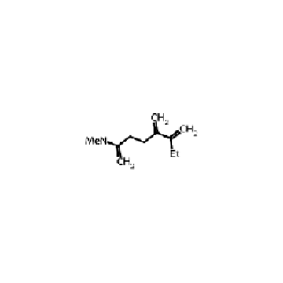 C=C(CCC(=C)C(=C)CC)NC